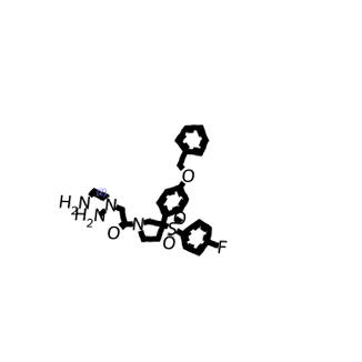 N/C=C\N(N)CC(=O)N1CCC(c2ccc(OCc3ccccc3)cc2)(S(=O)(=O)c2ccc(F)cc2)C1